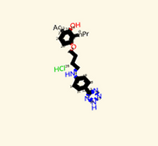 CCCc1c(OCCCCNc2ccc(-c3nn[nH]n3)cc2)ccc(C(C)=O)c1O.Cl